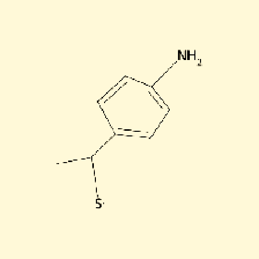 CC([S])c1ccc(N)cc1